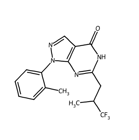 Cc1ccccc1-n1ncc2c(=O)[nH]c(CC(C)C(F)(F)F)nc21